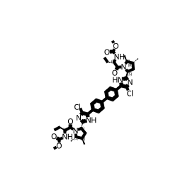 CC[C@H](NC(=O)OC)C(=O)N1[C@H](c2nc(Cl)c(-c3ccc(-c4ccc(-c5[nH]c([C@@H]6C[C@@H](C)[C@H](C)N6C(=O)[C@H](CC)NC(=O)OC)nc5Cl)cc4)cc3)[nH]2)C[C@@H](C)[C@@H]1C